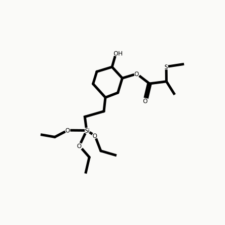 CCO[Si](CCC1CCC(O)C(OC(=O)C(C)SC)C1)(OCC)OCC